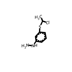 CC(Cl)Sc1cccc(NN)c1